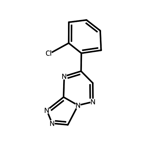 Clc1ccccc1-c1cnn2cnnc2n1